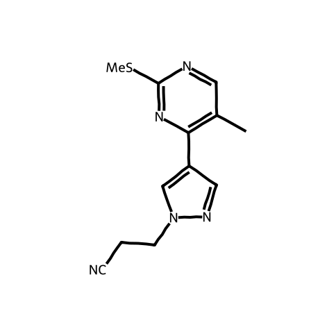 CSc1ncc(C)c(-c2cnn(CCC#N)c2)n1